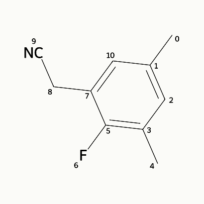 Cc1cc(C)c(F)c(CC#N)c1